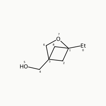 CCC12CC(CO)(CO1)C2